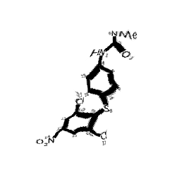 CNC(=O)Nc1ccc(Sc2c(Cl)cc([N+](=O)[O-])cc2Cl)cc1